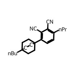 CCCCC12CCC(c3ccc(CCC)c(C#N)c3C#N)(CC1)CC2